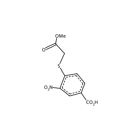 COC(=O)CSc1ccc(C(=O)O)cc1[N+](=O)[O-]